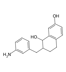 Nc1cccc(CC2CCc3ccc(O)cc3C2O)c1